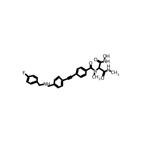 CNC(=O)C(C(=O)NO)N(C)C(=O)c1ccc(C#Cc2ccc(CNCc3ccc(F)cc3)cc2)cc1